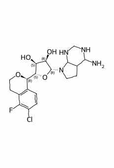 NC1NCNC2C1CCN2[C@@H]1O[C@H]([C@@H]2OCCc3c2ccc(Cl)c3F)[C@@H](O)[C@H]1O